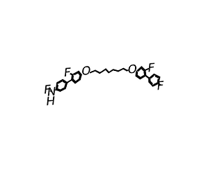 FNc1ccc(-c2ccc(OCCCCCCCCCOc3ccc(-c4ccc(F)cc4)c(F)c3)cc2F)cc1